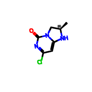 C[C@@H]1Cn2c(cc(Cl)nc2=O)N1